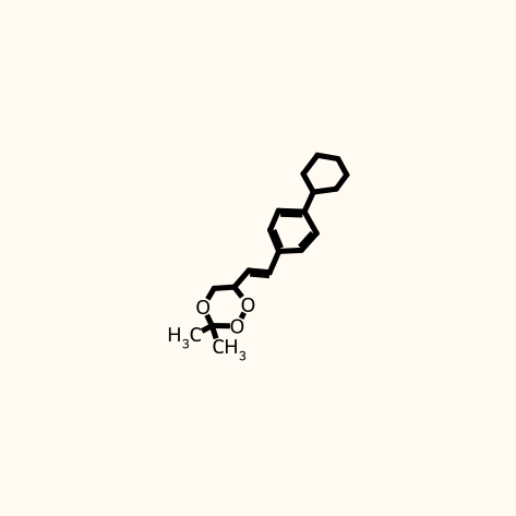 CC1(C)OCC(C=Cc2ccc(C3CCCCC3)cc2)OO1